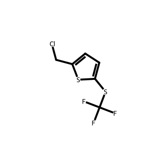 FC(F)(F)Sc1ccc(CCl)s1